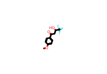 COc1ccc(C(=O)CC(O)C(F)(F)F)cc1